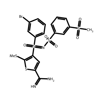 CSc1sc(C(=N)N)cc1S(=O)(=NS(=O)(=O)c1cccc(S(C)(=O)=O)c1)c1cccc(Br)c1